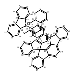 C=CC1=C(/C(=C\C)Nc2ccccc2Cl)c2ccccc2C12c1ccccc1-c1ccc3c4ccccc4n(-c4ccc(-n5c6ccccc6c6ccccc65)cc4)c3c12